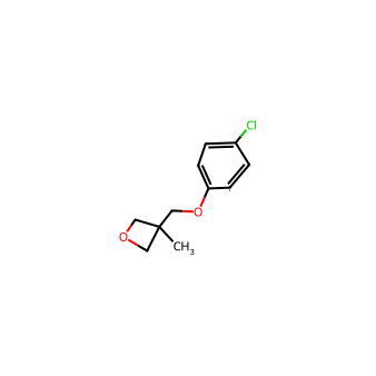 CC1(COc2[c]cc(Cl)cc2)COC1